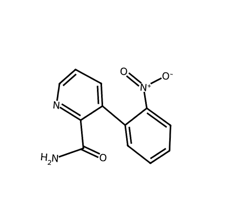 NC(=O)c1ncccc1-c1ccccc1[N+](=O)[O-]